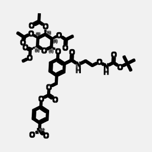 COC(=O)[C@H]1O[C@@H](Oc2ccc(COC(=O)Oc3ccc([N+](=O)[O-])cc3)cc2C(=O)NCCONC(=O)OC(C)(C)C)[C@H](OC(C)=O)[C@@H](OC(C)=O)[C@@H]1OC(C)=O